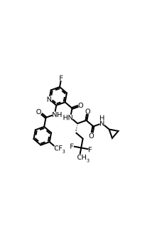 CC(F)(F)CC[C@H](NC(=O)c1cc(F)cnc1NC(=O)c1cccc(C(F)(F)F)c1)C(=O)C(=O)NC1CC1